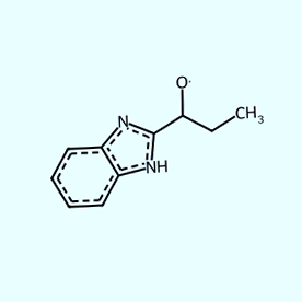 CCC([O])c1nc2ccccc2[nH]1